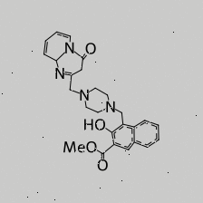 COC(=O)c1cc2ccccc2c(CN2CCN(CC3=NC4C=CC=CN4C(=O)C3)CC2)c1O